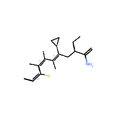 C=C(N)C(CC)C/C(=C(C)/C(C)=C(C)\C(F)=C/C)C1CC1